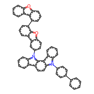 c1ccc(-c2ccc(-n3c4ccccc4c4c3ccc3c5ccccc5n(-c5ccc6oc7c(-c8cccc9oc%10ccccc%10c89)cccc7c6c5)c34)cc2)cc1